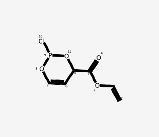 C=COC(=O)C1C=COP(Cl)O1